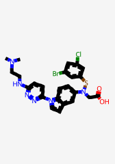 CN(C)CCNc1ccc(-n2ccc3cc(N(CC(=O)O)Sc4cc(Cl)cc(Br)c4)ccc32)nn1